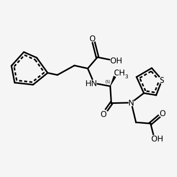 C[C@H](NC(CCc1ccccc1)C(=O)O)C(=O)N(CC(=O)O)c1ccsc1